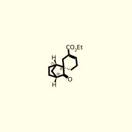 CCOC(=O)C1=CCC[C@]2(C1)C(=O)[C@@H]1CC[C@H]2C1